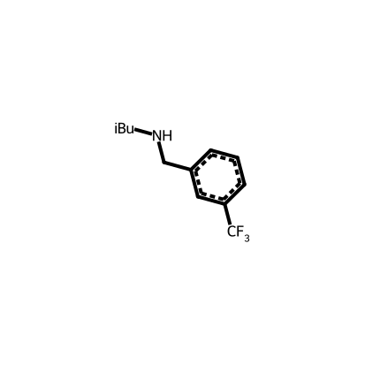 CCC(C)NCc1cccc(C(F)(F)F)c1